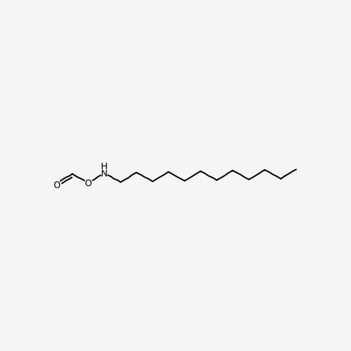 CCCCCCCCCCCCNOC=O